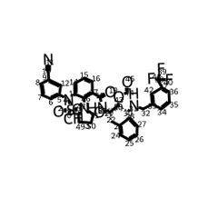 CS(=O)(=O)N(c1cccc(C#N)c1)c1cccc(C(=O)N[C@@H](Cc2ccccc2)[C@@H](CNCc2cccc(C(F)(F)F)c2)OC=O)c1N1CCCC1=O